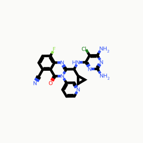 N#Cc1ccc(F)c2nc(C(Nc3nc(N)nc(N)c3Cl)C3CC3)n(-c3cccnc3)c(=O)c12